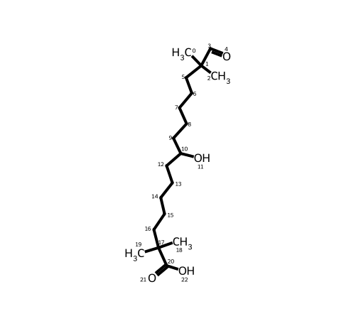 CC(C)(C=O)CCCCCC(O)CCCCCC(C)(C)C(=O)O